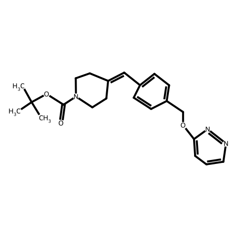 CC(C)(C)OC(=O)N1CCC(=Cc2ccc(COc3cccnn3)cc2)CC1